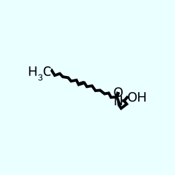 CCCCCCCCC=CCCCCCCCC(=O)N1CCCC1CO